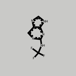 FC(F)(F)Nc1ncc2nc[nH]c2n1